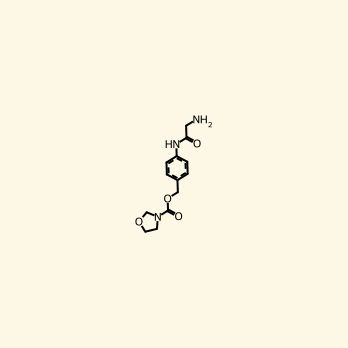 NCC(=O)Nc1ccc(COC(=O)N2CCOC2)cc1